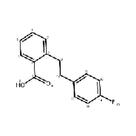 O=C(O)c1ccccc1CCc1ccc(F)cc1